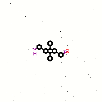 CPc1cccc(-c2ccc3c(-c4ccccc4)c4cc(-c5cccc(P(C)(C)=O)c5)ccc4c(-c4ccccc4)c3c2)c1